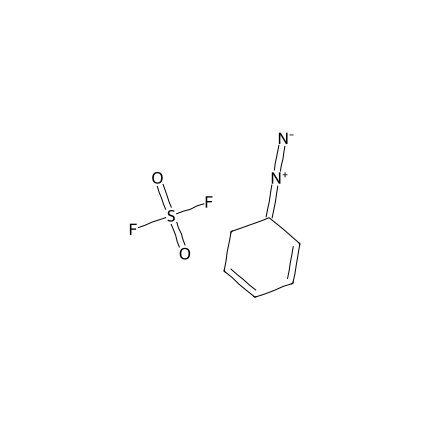 O=S(=O)(F)F.[N-]=[N+]=C1C=CC=CC1